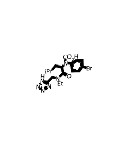 CCN(Cc1nnn[nH]1)C(=O)C(CC(C)C)N(C(=O)O)c1ccc(Br)cc1